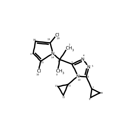 CC(C)(c1nnc(C2CC2)n1C1CC1)n1c(Cl)ccc1Cl